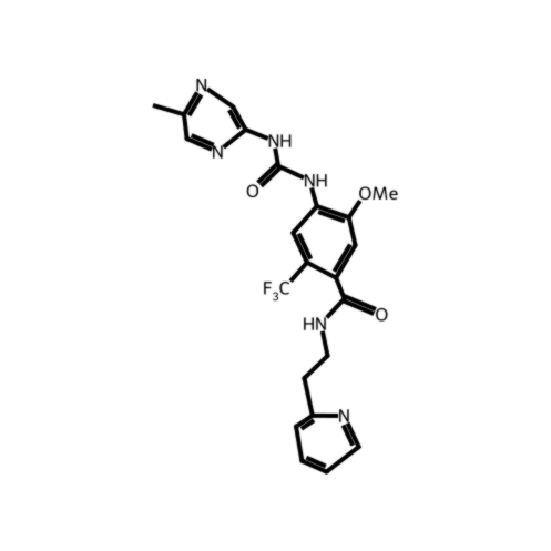 COc1cc(C(=O)NCCc2ccccn2)c(C(F)(F)F)cc1NC(=O)Nc1cnc(C)cn1